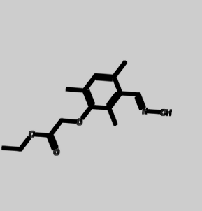 CCOC(=O)COc1c(C)cc(C)c(C=NO)c1C